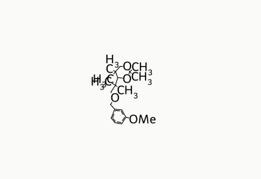 COc1cccc(COCC(C)(C)C2OC(C)(C)OCC2(C)C)c1